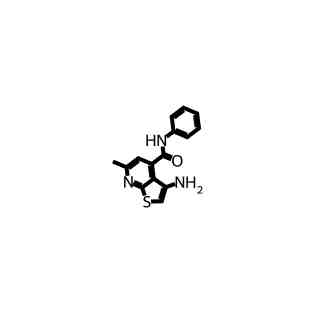 Cc1cc(C(=O)Nc2ccccc2)c2c(N)csc2n1